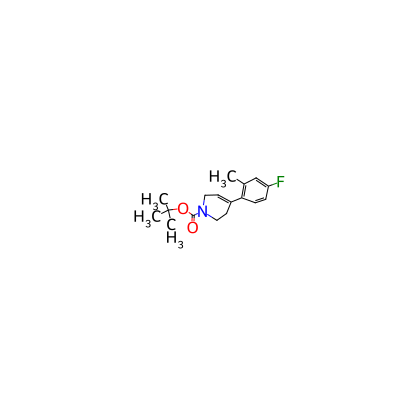 Cc1cc(F)ccc1C1=CCN(C(=O)OC(C)(C)C)CC1